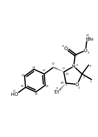 CC[C@H]1OC(C)(C)N(C(=O)OC(C)(C)C)[C@H]1Cc1ccc(O)cc1